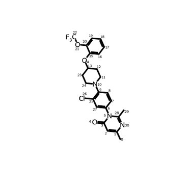 Cc1cc(=O)n(-c2ccc(N3CCC(Oc4ccccc4OC(F)(F)F)CC3)c(Cl)c2)c(C)n1